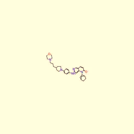 O=c1ccc2cnc(Nc3ccc(N4CCC(CCCN5CCOCC5)CC4)cc3)cc2n1C1CC2CCC1C2